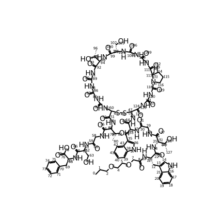 CCCOCCOCC(=O)N[C@@H](Cc1c[nH]c2ccccc12)C(=O)N[C@H](C(=O)NCC(=O)N[C@@H](Cc1c[nH]c2ccccc12)C(=O)N[C@H]1SSC(C(=O)N[C@H](C(=O)NCC(=O)N[C@@H](CO)C(=O)N[C@@H](Cc2ccccc2)C(=O)O)[C@@H](C)O)NC(=O)NC(=O)NC(=O)NC(=O)C([C@@H](C)O)NC(=O)[C@H](CO)NC(=O)NC(=O)NC(=O)[C@@H]2CCCN2C(=O)NC(=O)NC1=O)[C@@H](C)O